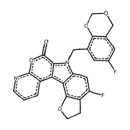 O=c1oc2ncccc2c2c3c4c(c(F)cc3n(Cc3cc(F)cc5c3OCOC5)c12)CCO4